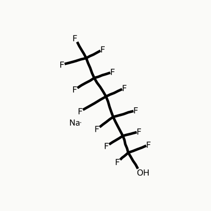 OC(F)(F)C(F)(F)C(F)(F)C(F)(F)C(F)(F)C(F)(F)F.[Na]